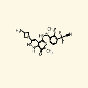 C[C@@H](Nc1nn(C)c(=O)c2c1C=C(N1CC(N)C1)NN2)c1cccc(C(F)(F)C#N)c1F